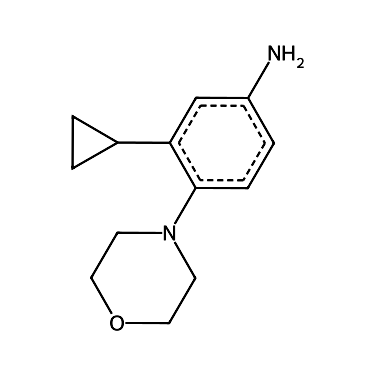 Nc1ccc(N2CCOCC2)c(C2CC2)c1